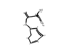 C=C(OC1C=CC=CC1)C(=O)O